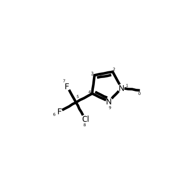 Cn1c[c]c(C(F)(F)Cl)n1